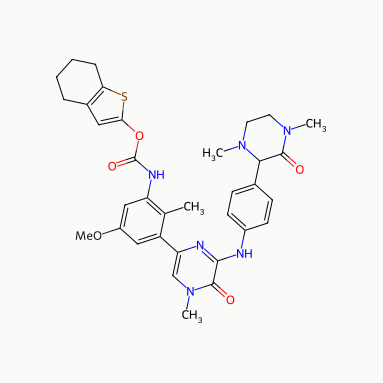 COc1cc(NC(=O)Oc2cc3c(s2)CCCC3)c(C)c(-c2cn(C)c(=O)c(Nc3ccc(C4C(=O)N(C)CCN4C)cc3)n2)c1